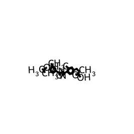 Cc1cc(-c2nc(-c3ccc(CC(C)C(=O)O)cc3C)no2)ccc1OC(C)C